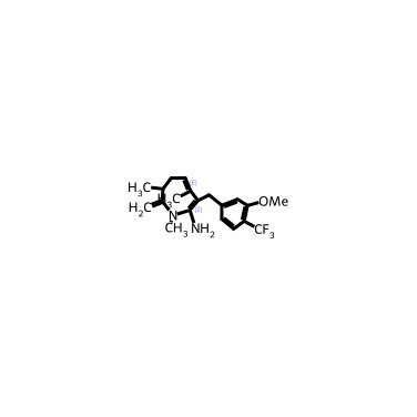 C=C1C(C)C/C=C(C)/C(Cc2ccc(C(F)(F)F)c(OC)c2)=C(/N)N1C